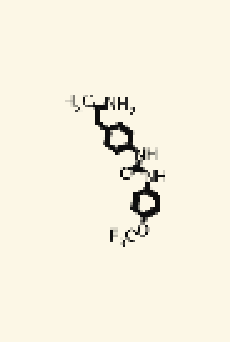 CC(N)Cc1ccc(NC(=O)Nc2ccc(OC(F)(F)F)cc2)cc1